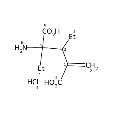 C=C(C(=O)O)C(CC)C(N)(CC)C(=O)O.Cl